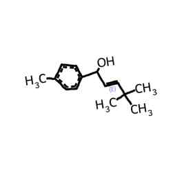 Cc1ccc(C(O)/C=C/C(C)(C)C)cc1